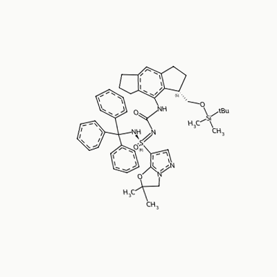 CC1(C)Cn2ncc([S@](=O)(=NC(=O)Nc3c4c(cc5c3[C@@H](CO[Si](C)(C)C(C)(C)C)CC5)CCC4)NC(c3ccccc3)(c3ccccc3)c3ccccc3)c2O1